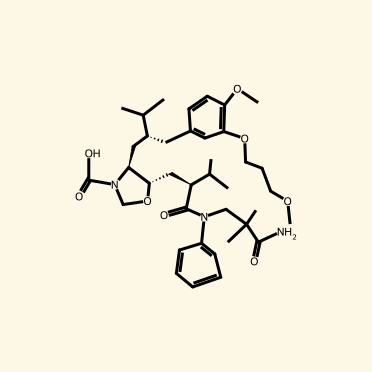 COCCCOc1cc(C[C@H](C[C@H]2[C@H](C[C@H](C(=O)N(CC(C)(C)C(N)=O)c3ccccc3)C(C)C)OCN2C(=O)O)C(C)C)ccc1OC